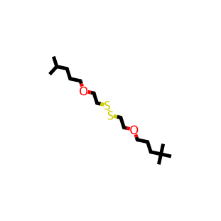 CC(C)CCCOCCSSCCOCCCC(C)(C)C